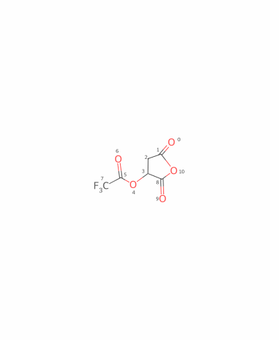 O=C1CC(OC(=O)C(F)(F)F)C(=O)O1